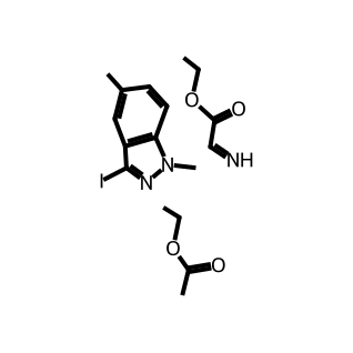 CCOC(=O)C=N.CCOC(C)=O.Cc1ccc2c(c1)c(I)nn2C